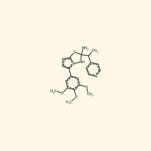 COc1cc(-c2cnc3n2NC(N)(C(C)c2ccncc2)S3)cc(OC)c1OC